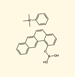 C[N+](C)(C)c1ccccc1.OB(O)Oc1cccc2ccc3cc4ccccc4cc3c12